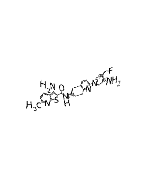 Cc1ccc2c(N)c(C(=O)N[C@H]3CCc4nc(N5C[C@@H](CF)[C@H](N)C5)ccc4C3)sc2n1